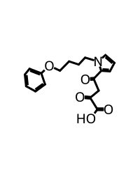 O=C(O)C(=O)CC(=O)c1cccn1CCCCOc1ccccc1